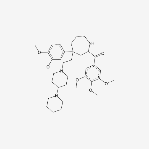 COc1ccc(C2(CCN3CCC(N4CCCCC4)CC3)CCCNC(C(=O)c3cc(OC)c(OC)c(OC)c3)C2)cc1OC